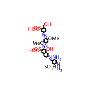 COc1cc(N=Nc2c(SOOO)cc3ccc(N=Nc4cc(S(=O)(=O)O)c(N)cc4N)cc3c2O)c(OC)cc1N=Nc1ccc(CO)c(SOOO)c1